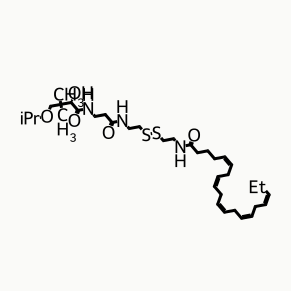 CC/C=C\C/C=C\C/C=C\C/C=C\C/C=C\CCCC(=O)NCCSSCCNC(=O)CCNC(=O)[C@H](O)C(C)(C)COC(C)C